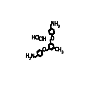 Cc1cc(COc2ccc(CN)cc2)cc(COc2ccc(CN)cc2)c1.Cl.Cl